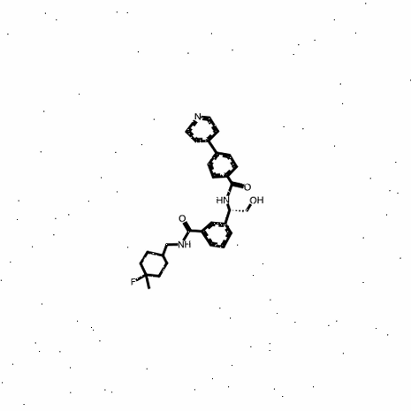 CC1(F)CCC(CNC(=O)c2cccc([C@@H](CO)NC(=O)c3ccc(-c4ccncc4)cc3)c2)CC1